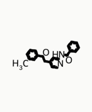 Cc1cccc(C(=O)Cc2ccnc(NC(=O)c3ccccc3)c2)c1